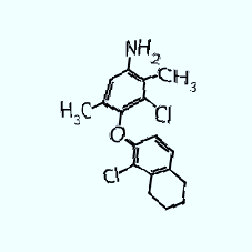 Cc1cc(N)c(C)c(Cl)c1Oc1ccc2c(c1Cl)CCCC2